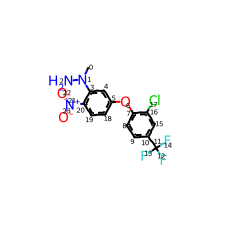 CN(N)c1cc(Oc2ccc(C(F)(F)F)cc2Cl)ccc1[N+](=O)[O-]